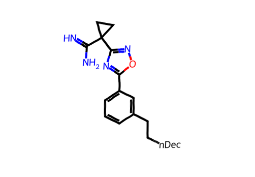 CCCCCCCCCCCCc1cccc(-c2nc(C3(C(=N)N)CC3)no2)c1